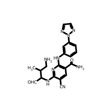 CC(CN)C(C=O)Nc1nc(Nc2cccc(-n3nccn3)c2)c(C(N)=O)cc1C#N